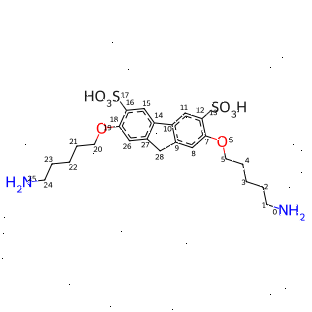 NCCCCCOc1cc2c(cc1S(=O)(=O)O)-c1cc(S(=O)(=O)O)c(OCCCCCN)cc1C2